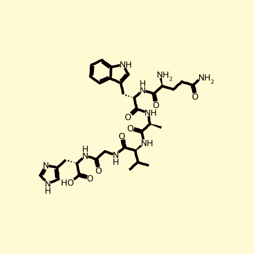 CC(C)[C@H](NC(=O)[C@H](C)NC(=O)[C@H](Cc1c[nH]c2ccccc12)NC(=O)[C@@H](N)CCC(N)=O)C(=O)NCC(=O)N[C@@H](Cc1c[nH]cn1)C(=O)O